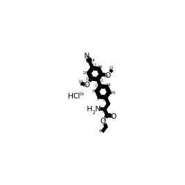 CCOC(=O)C(N)Cc1ccc(-c2c(OC)cc(C#N)cc2OC)cc1.Cl